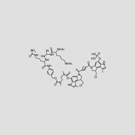 CC(=O)NCCCCC(NC(C)=O)C(=O)NC(C(=O)NC(CCCNC(N)=O)C(=O)Nc1ccc(COC(=O)N(C)CCN(C)C(=S)Oc2cc3c(c4c(C)c[nH]c24)C(CCl)CN3C(=O)C23CC(C(=O)N4CC(CCl)c5c4cc(OP(=O)(O)O)c4[nH]cc(C)c54)(C2)C3)cc1)C(C)C